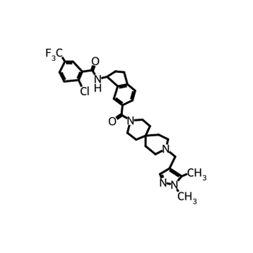 Cc1c(CN2CCC3(CC2)CCN(C(=O)c2ccc4c(c2)C(NC(=O)c2cc(C(F)(F)F)ccc2Cl)CC4)CC3)cnn1C